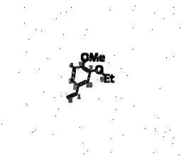 C=Cc1ccc(OC)c(OCC)c1